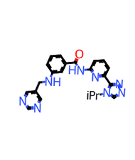 CC(C)n1cnnc1-c1cccc(NC(=O)c2cccc(NCc3cncnc3)c2)n1